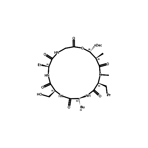 CCCCCCCCCC[C@H]1OC(=O)CNC(=O)[C@H](CC)NC(=O)[C@H](CO)NC(=O)[C@H]([C@@H](C)CC)NC(=O)[C@H](CC(C)C)N(C)C(=O)[C@@H]1C